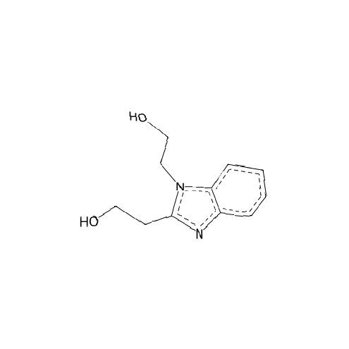 OCCc1nc2ccccc2n1CCO